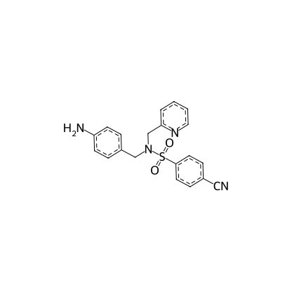 N#Cc1ccc(S(=O)(=O)N(Cc2ccc(N)cc2)Cc2ccccn2)cc1